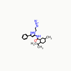 CC1CCC(C(C)C)C(C(=O)Nc2cc(-c3ccccc3)nn2CCN=[N+]=[N-])C1